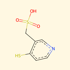 O=S(=O)(O)Cc1cnccc1S